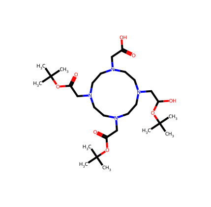 CC(C)(C)OC(=O)CN1CCN(CC(=O)O)CCN(CC(O)OC(C)(C)C)CCN(CC(=O)OC(C)(C)C)CC1